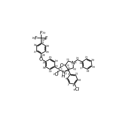 O=S(=O)(N[C@@]1(c2ccc(Cl)cc2)CCN(Cc2ccccc2)C1)c1ccc(Oc2ccc(C(F)(F)F)cc2)cc1